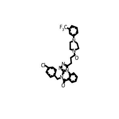 O=C(CCc1nnc2n(Cc3ccc(Cl)cc3)c(=O)c3ccccc3n12)N1CCN(c2cccc(C(F)(F)F)c2)CC1